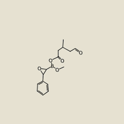 COB(OC(=O)CC(C)CC=O)C1OC1c1ccccc1